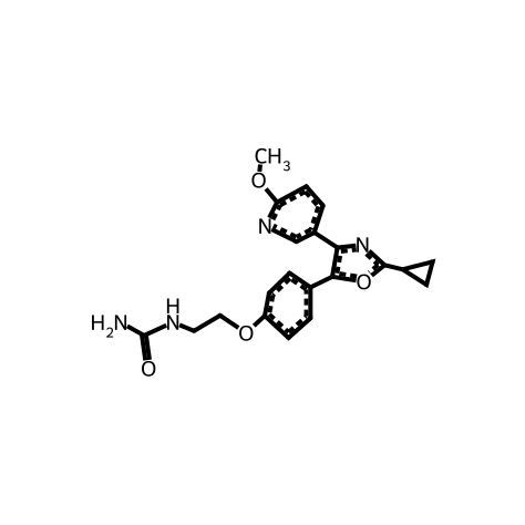 COc1ccc(-c2nc(C3CC3)oc2-c2ccc(OCCNC(N)=O)cc2)cn1